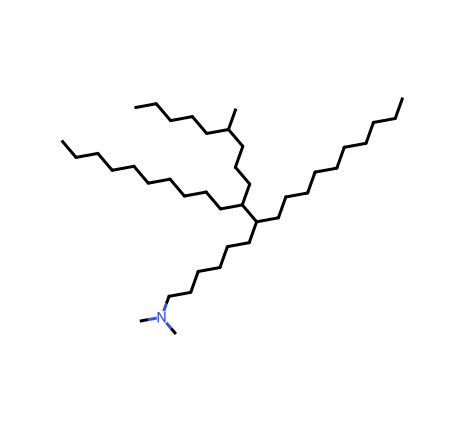 CCCCCCCCCCC(CCCCCCN(C)C)C(CCCCCCCCCC)CCCC(C)CCCCC